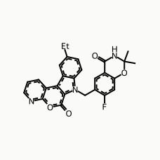 CCc1ccc2c(c1)c1c3cccnc3oc(=O)c1n2Cc1cc2c(cc1F)OC(C)(C)NC2=O